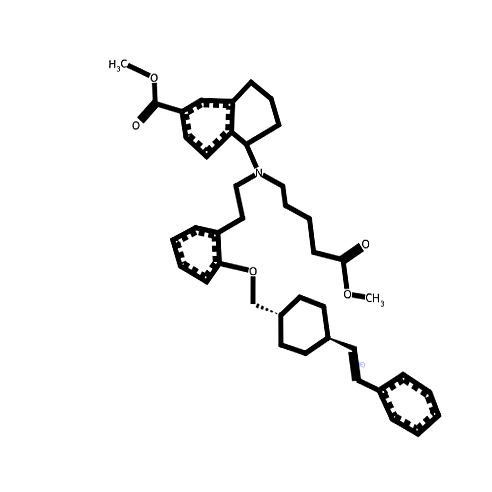 COC(=O)CCCCN(CCc1ccccc1OC[C@H]1CC[C@H](/C=C/c2ccccc2)CC1)C1CCCc2cc(C(=O)OC)ccc21